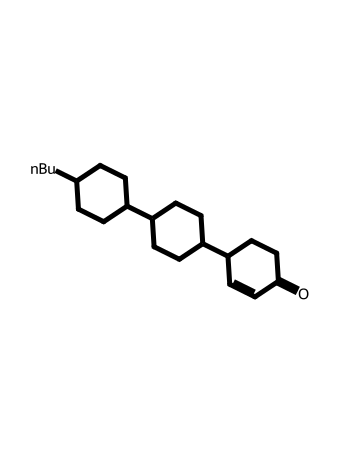 CCCCC1CCC(C2CCC(C3C=CC(=O)CC3)CC2)CC1